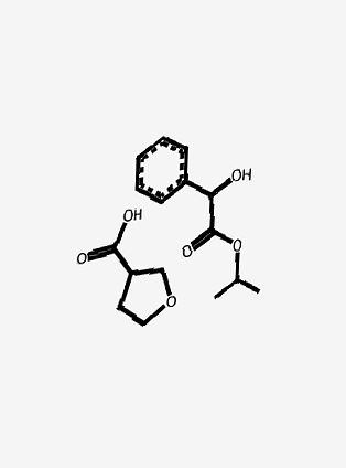 CC(C)OC(=O)C(O)c1ccccc1.O=C(O)C1CCOC1